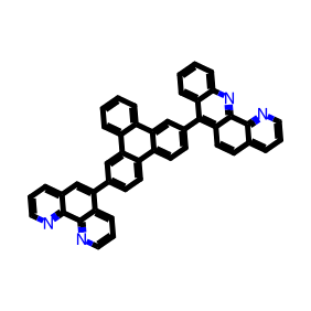 c1cnc2c(c1)cc(-c1ccc3c4ccc(-c5c6ccccc6nc6c5ccc5cccnc56)cc4c4ccccc4c3c1)c1cccnc12